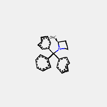 O=C[C@H]1CCN1C(c1ccccc1)(c1ccccc1)c1ccccc1